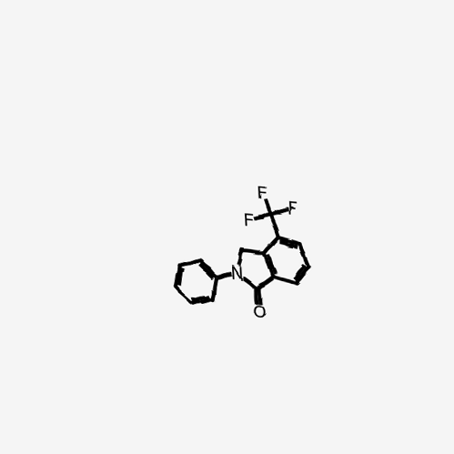 O=C1c2cccc(C(F)(F)F)c2CN1c1ccccc1